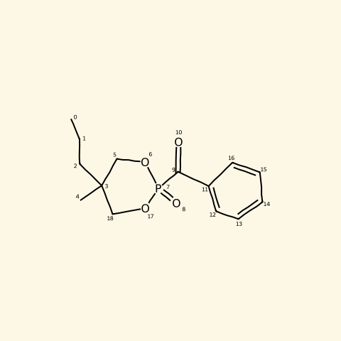 CCCC1(C)COP(=O)(C(=O)c2ccccc2)OC1